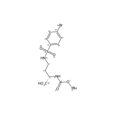 CC(C)(C)OC(=O)N[C@@H](CCNS(=O)(=O)c1ccc(Br)cc1)C(=O)O